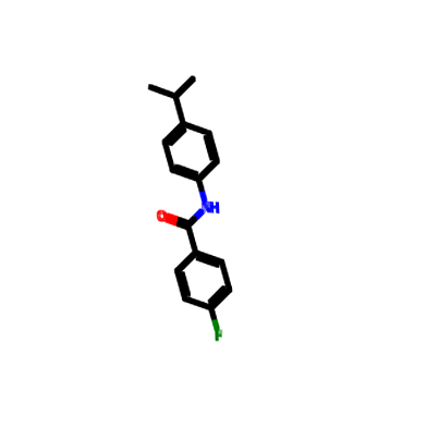 CC(C)c1ccc(NC(=O)c2ccc(F)cc2)cc1